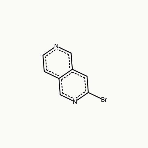 Brc1cc2cn[c]cc2cn1